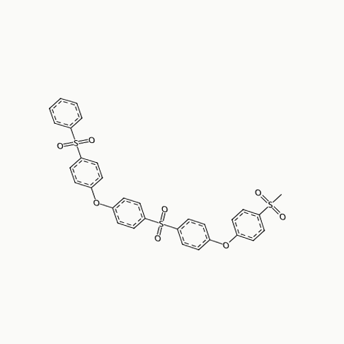 CS(=O)(=O)c1ccc(Oc2ccc(S(=O)(=O)c3ccc(Oc4ccc(S(=O)(=O)c5ccccc5)cc4)cc3)cc2)cc1